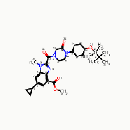 COC(=O)c1cc(C2CC2)cc2c1nc(C(=O)N1CCN(C3CCC(O[Si](C)(C)C(C)(C)C)CC3)C(=O)C1)n2C